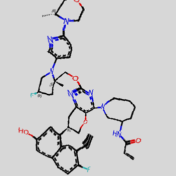 C#Cc1c(F)ccc2cc(O)cc([C@@H]3COc4c(nc(OC[C@]5(C)C[C@@H](F)CN5c5ccc(N6CCOC[C@H]6C)nc5)nc4N4CCCCC(NC(=O)C=C)C4)C3)c12